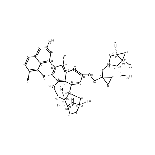 CCc1c(F)ccc2cc(O)cc(-c3nc4c5c(nc(OCC6(CN7C[C@H]8C[C@H]8[C@@H]7CO)CC6)nc5c3F)N3C[C@H]5CC[C@H](N5)[C@H]3CO4)c12